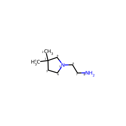 CC1(C)CCN(CCN)C1